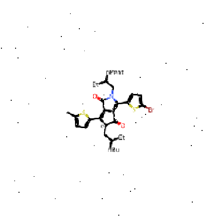 CCCCCC(CC)CN1C(=O)C2=C(c3ccc(C)s3)[C@H](CC(CC)CCCC)C(=O)C2=C1c1ccc(Br)s1